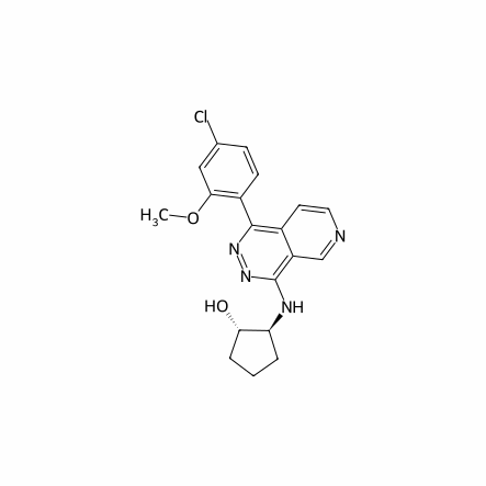 COc1cc(Cl)ccc1-c1nnc(N[C@H]2CCC[C@@H]2O)c2cnccc12